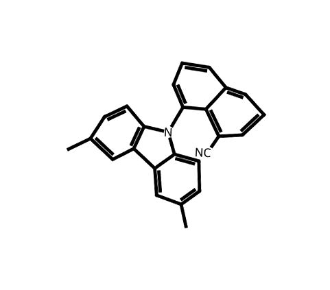 Cc1ccc2c(c1)c1cc(C)ccc1n2-c1cccc2cccc(C#N)c12